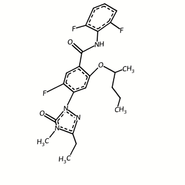 CCCC(C)Oc1cc(-n2nc(CC)n(C)c2=O)c(F)cc1C(=O)Nc1c(F)cccc1F